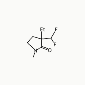 CCC1(C(F)F)CCN(C)C1=O